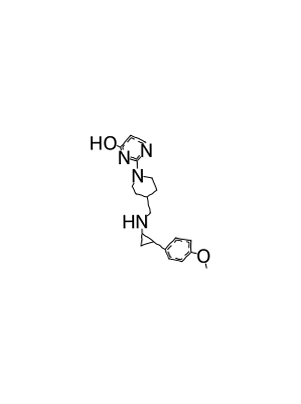 COc1ccc(C2CC2NCC2CCN(c3nccc(O)n3)CC2)cc1